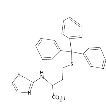 O=C(O)C(CCSC(c1ccccc1)(c1ccccc1)c1ccccc1)Nc1nccs1